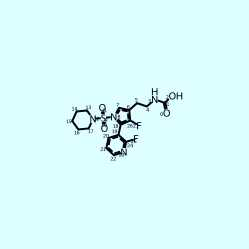 O=C(O)NCCc1cn(S(=O)(=O)N2CCCCC2)c(-c2cccnc2F)c1F